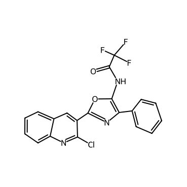 O=C(Nc1oc(-c2cc3ccccc3nc2Cl)nc1-c1ccccc1)C(F)(F)F